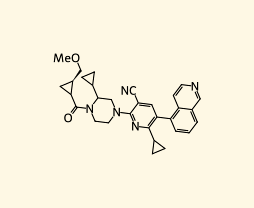 COC[C@@H]1CC1C(=O)N1CCN(c2nc(C3CC3)c(-c3cccc4cnccc34)cc2C#N)CC1C1CC1